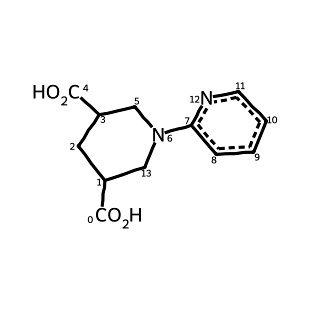 O=C(O)C1CC(C(=O)O)CN(c2ccccn2)C1